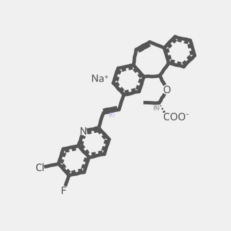 C[C@H](OC1c2ccccc2C=Cc2ccc(/C=C/c3ccc4cc(F)c(Cl)cc4n3)cc21)C(=O)[O-].[Na+]